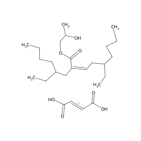 CCCCC(CC)CC=C(CC(CC)CCCC)C(=O)OCC(C)O.O=C(O)/C=C/C(=O)O